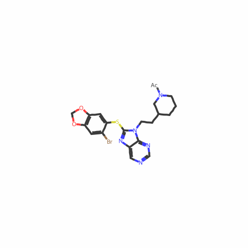 CC(=O)N1CCCC(CCn2c(Sc3cc4c(cc3Br)OCO4)nc3cncnc32)C1